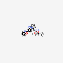 CC1Nc2cc(-c3nc4ccccc4o3)ccc2N1CCNC(=O)OC(C)(C)C